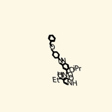 CCC(Cl)c1cc[nH]c(=O)c1NC(=O)c1cc2cn(C3CCC(COCc4ccccc4)CC3)nc2cc1OC(C)C